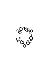 O=C(c1ccc(C(F)(F)F)cc1)c1ccc(Oc2ccc(CCC(=O)N3CCN(Cc4ccc5c(c4)OCO5)CC3)cc2)nc1